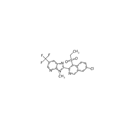 CCS(=O)(=O)c1c(-c2nc3cc(C(F)(F)F)cnc3n2C)ncc2cc(Cl)ccc12